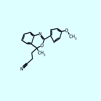 COc1ccc(C2=Nc3ccccc3C(C)(CCC#N)O2)cc1